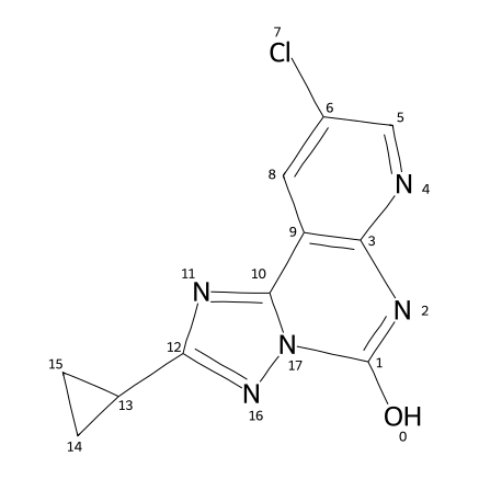 Oc1nc2ncc(Cl)cc2c2nc(C3CC3)nn12